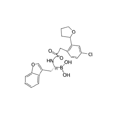 O=S(=O)(Cc1ccc(Cl)cc1C1CCCO1)N[C@@H](Cc1coc2ccccc12)B(O)O